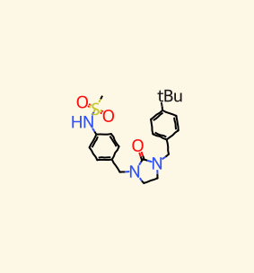 CC(C)(C)c1ccc(CN2CCN(Cc3ccc(NS(C)(=O)=O)cc3)C2=O)cc1